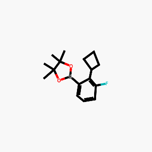 CC1(C)OB(c2cccc(F)c2C2CCC2)OC1(C)C